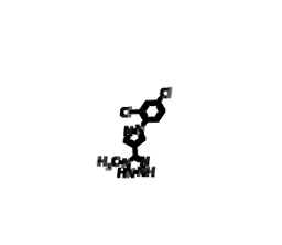 CN1NNN=C1c1cnn(-c2ccc(Cl)cc2Cl)c1